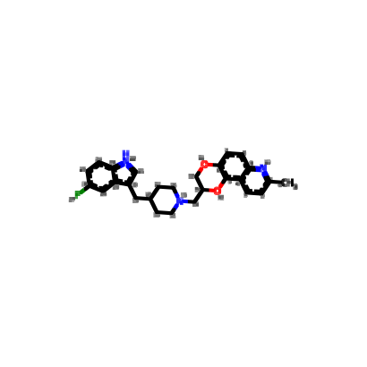 Cc1ccc2c3c(ccc2n1)OCC(CN1CCC(Cc2c[nH]c4ccc(F)cc24)CC1)O3